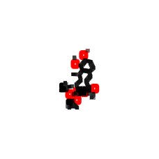 COc1ccc(C=CC(=O)O)c(C(C)CC[SiH2]C(O[Si](C)(C)C)O[Si](C)(C)C)c1OC